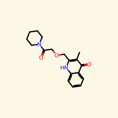 Cc1c(COCC(=O)N2CCCCC2)[nH]c2ccccc2c1=O